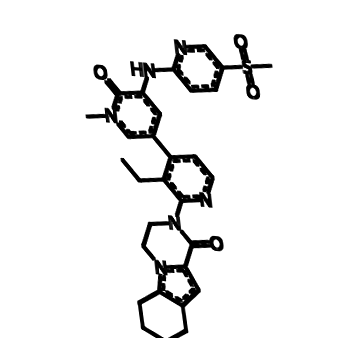 CCc1c(-c2cc(Nc3ccc(S(C)(=O)=O)cn3)c(=O)n(C)c2)ccnc1N1CCn2c(cc3c2CCCC3)C1=O